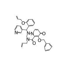 C=CCOc1ccccc1C(c1cccnc1)N1CN(CC=C)C(=O)c2c(OCc3ccccc3)c(=O)ccn21